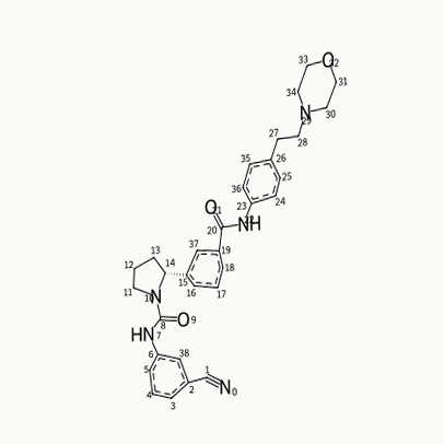 N#Cc1cccc(NC(=O)N2CCC[C@@H]2c2cccc(C(=O)Nc3ccc(CCN4CCOCC4)cc3)c2)c1